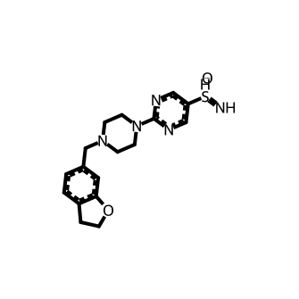 N=[SH](=O)c1cnc(N2CCN(Cc3ccc4c(c3)OCC4)CC2)nc1